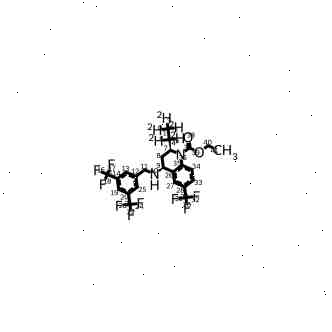 [2H]C([2H])([2H])C([2H])([2H])[C@@H]1C[C@H](NCc2cc(C(F)(F)F)cc(C(F)(F)F)c2)c2cc(C(F)(F)F)ccc2N1C(=O)OCC